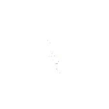 CC(C)(C)OC(=O)N1CCC(c2cnc(Cn3ccc4cc([N+](=O)[O-])cc(F)c43)nc2)CC1